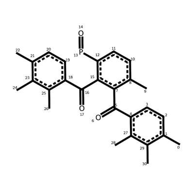 Cc1ccc(C(=O)c2c(C)ccc(P=O)c2C(=O)c2ccc(C)c(C)c2C)c(C)c1C